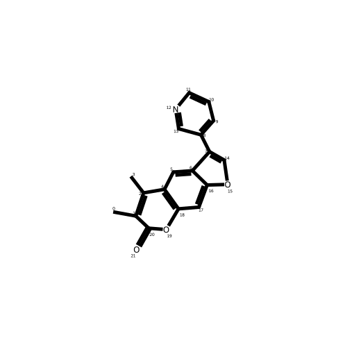 Cc1c(C)c2cc3c(-c4cccnc4)coc3cc2oc1=O